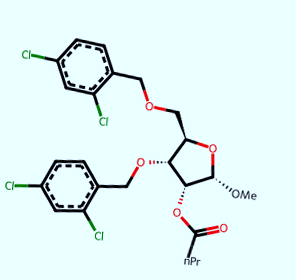 CCCC(=O)O[C@H]1[C@@H](OC)O[C@H](COCc2ccc(Cl)cc2Cl)[C@H]1OCc1ccc(Cl)cc1Cl